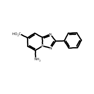 Nc1cc(C(=O)O)cc2nc(-c3ccccc3)nn12